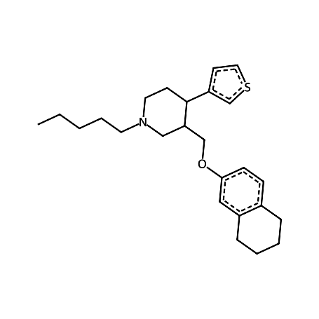 CCCCCN1CCC(c2ccsc2)C(COc2ccc3c(c2)CCCC3)C1